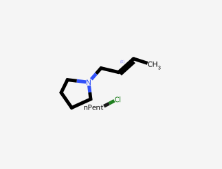 C/C=C/CN1CCCC1.CCCCCCl